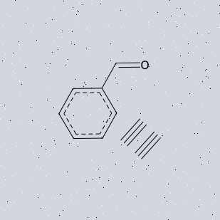 C#C.C#C.O=Cc1ccccc1